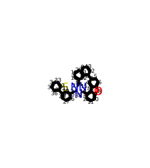 c1ccc(-c2ccc3oc4cccc(-c5nc(-c6ccccc6)nc(-c6cccc7c6sc6ccccc67)n5)c4c3c2)cc1